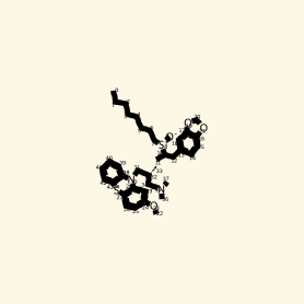 CCCCCCCC[S+]([O-])C(C)Cc1ccc2c(c1)OCO2.COc1ccc2c(c1)N(C[C@H](C)CN(C)C)c1ccccc1S2